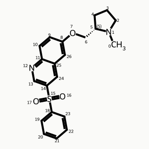 CN1CCC[C@H]1COc1ccc2ncc(S(=O)(=O)c3ccccc3)cc2c1